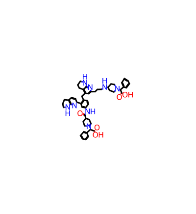 O=C(Nc1ccc(Cc2cc(CCCNC3CCN(C(C(=O)O)c4ccccc4)CC3)nc3c2CCCN3)c(-c2ccc3c(n2)NCCC3)c1)C1CCN(C(C(=O)O)c2ccccc2)CC1